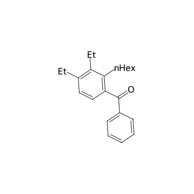 CCCCCCc1c(C(=O)c2ccccc2)ccc(CC)c1CC